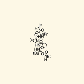 CCCC(NC(=O)[C@@H]1C2C(CN1C(=O)[C@@H](NC(=O)N[C@H](COC(=O)NCC)C(C)(C)C)C1(C)CCCCC1)C2(C)C)C(=O)C(=O)NC1CC1